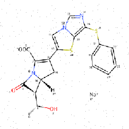 C[C@@H](O)[C@H]1C(=O)N2C(C(=O)[O-])=C(c3cn4cnc(Sc5ccccc5)c4s3)C[C@H]12.[Na+]